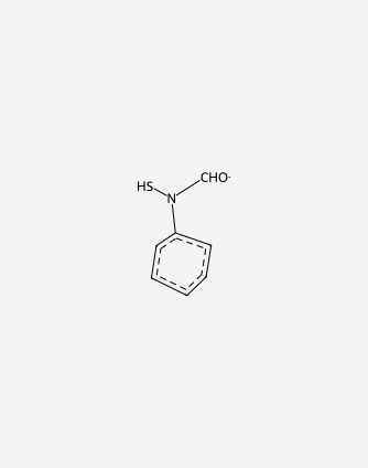 O=[C]N(S)c1ccccc1